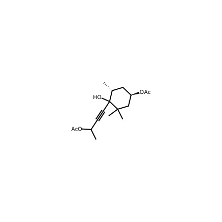 CC(=O)OC(C)C#CC1(O)[C@H](C)C[C@@H](OC(C)=O)CC1(C)C